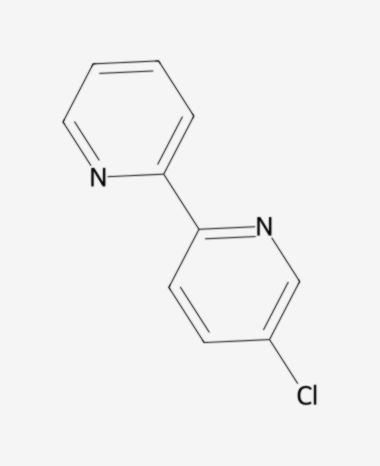 Clc1ccc(-c2ccccn2)nc1